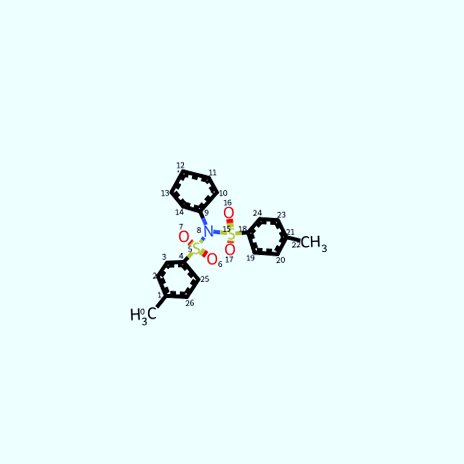 Cc1ccc(S(=O)(=O)N(c2cc[c]cc2)S(=O)(=O)c2ccc(C)cc2)cc1